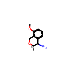 COc1cccc2c1CO[C@@H](C)C2N